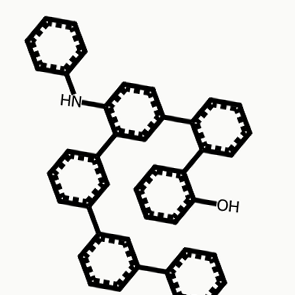 Oc1ccccc1-c1ccccc1-c1ccc(Nc2ccccc2)c(-c2cccc(-c3cccc(-c4ccccc4)c3)c2)c1